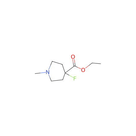 CCOC(=O)C1(F)CCN(C)CC1